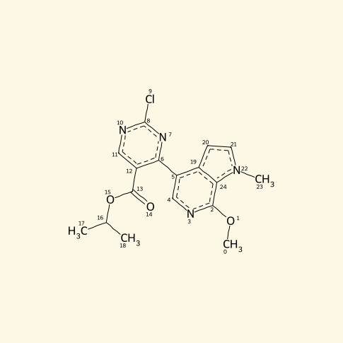 COc1ncc(-c2nc(Cl)ncc2C(=O)OC(C)C)c2ccn(C)c12